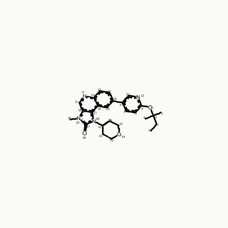 CCC(C)(C)Oc1ccc(-c2ccc3ncc4c(c3c2)n(C2CCOCC2)c(=O)n4C)cn1